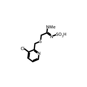 CNC(CSCc1ncccc1Cl)=NS(=O)(=O)O